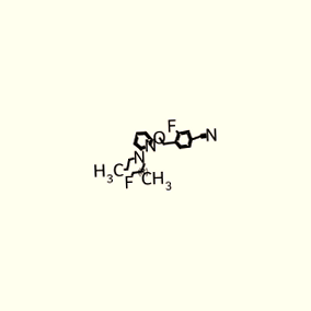 CCCN(C[C@@H](C)CF)c1cccc(OCc2ccc(C#N)cc2F)n1